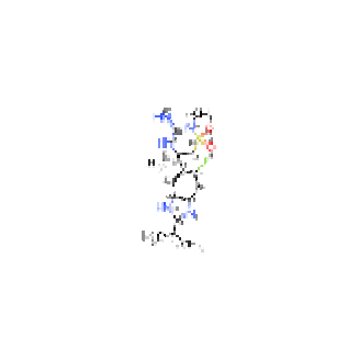 CC(C)c1nc2cc(F)c([C@]3(C)CS(=O)(=O)N(C)C(=N)N3)cc2[nH]1